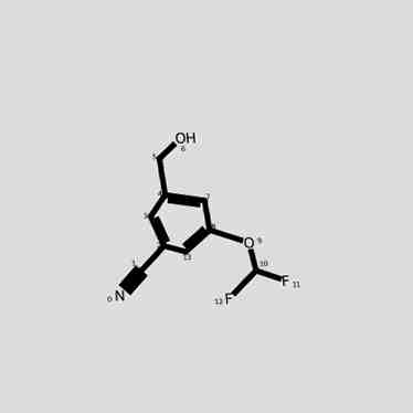 N#Cc1cc([CH]O)cc(OC(F)F)c1